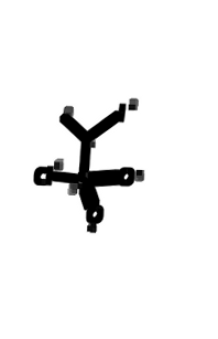 CC(I)S(=O)(=O)Cl